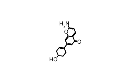 Nc1ccc2c(=O)cc(C3=CCC(O)CC3)cc-2o1